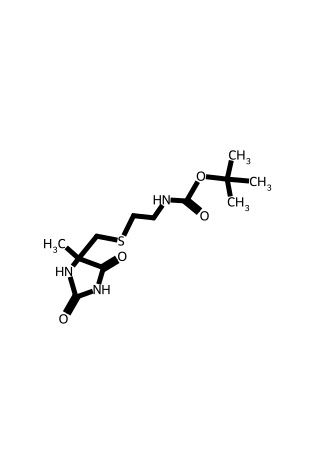 CC(C)(C)OC(=O)NCCSCC1(C)NC(=O)NC1=O